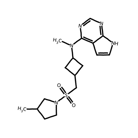 CC1CCN(S(=O)(=O)CC2CC(N(C)c3ncnc4[nH]ccc34)C2)C1